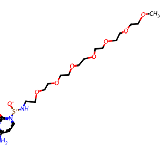 COCCOCCOCCOCCOCCOCCOCCN[S+]([O-])n1ccc(N)nc1=O